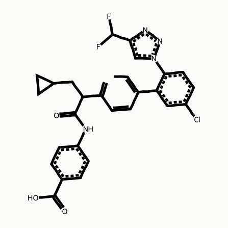 C=C(/C=C\C(=C/C)c1cc(Cl)ccc1-n1cc(C(F)F)nn1)C(CC1CC1)C(=O)Nc1ccc(C(=O)O)cc1